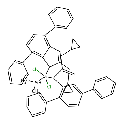 C[SiH](C)[Zr]([Cl])([Cl])([CH]1C(CC2CC2)=Cc2c(-c3ccccc3)ccc(-c3ccccc3)c21)[CH]1C(CC2CC2)=Cc2c(-c3ccccc3)ccc(-c3ccccc3)c21